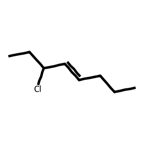 CCCC=CC(Cl)CC